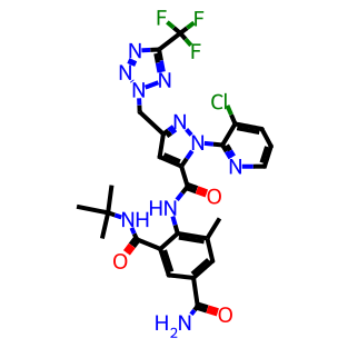 Cc1cc(C(N)=O)cc(C(=O)NC(C)(C)C)c1NC(=O)c1cc(Cn2nnc(C(F)(F)F)n2)nn1-c1ncccc1Cl